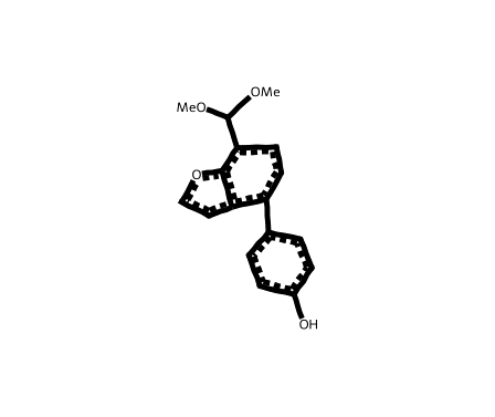 COC(OC)c1ccc(-c2ccc(O)cc2)c2ccoc12